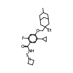 CCC1(COc2cc(F)c(C(=O)NSN3CCC3)cc2C2CC2)CC2CC(C)CC(C2)C1